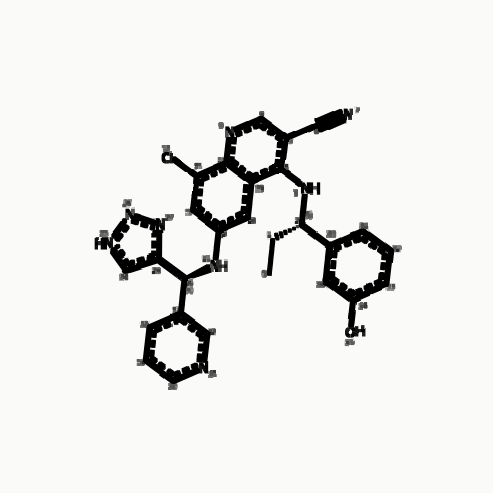 CC[C@H](Nc1c(C#N)cnc2c(Cl)cc(N[C@@H](c3cccnc3)c3c[nH]nn3)cc12)c1cccc(O)c1